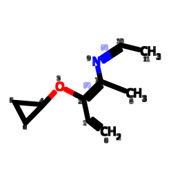 C=C/C(OC1CC1)=C(C)/N=C\C